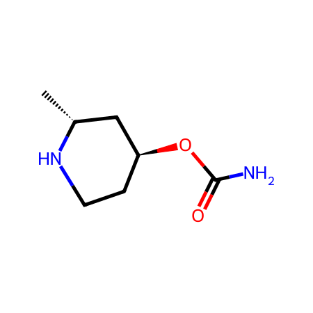 C[C@@H]1C[C@@H](OC(N)=O)CCN1